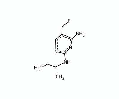 CC[C@@H](C)Nc1ncc(CF)c(N)n1